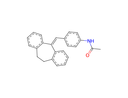 CC(=O)Nc1ccc(C=C2c3ccccc3CCc3ccccc32)cc1